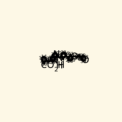 Cc1c(Nc2nccc3cc(CN4CCCCC4C(=O)O)cnc23)cccc1-c1cccc(OCCN2CCOCC2)c1C